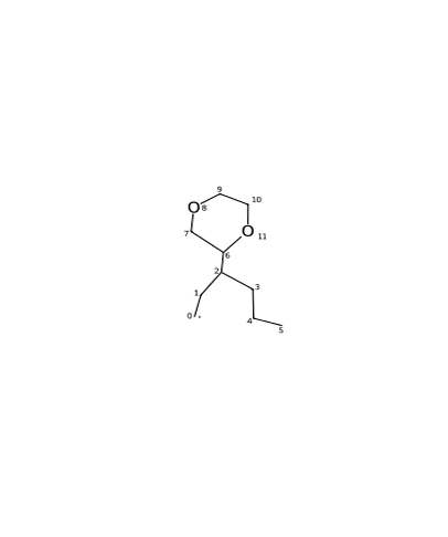 [CH2]CC(CCC)C1COCCO1